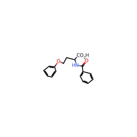 O=C(NC(CCOc1ccccc1)C(=O)O)c1ccccc1